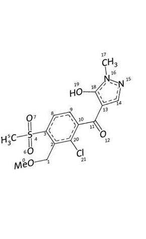 COCc1c(S(C)(=O)=O)ccc(C(=O)c2cnn(C)c2O)c1Cl